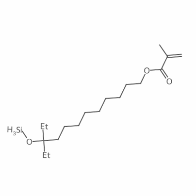 C=C(C)C(=O)OCCCCCCCCCC(CC)(CC)O[SiH3]